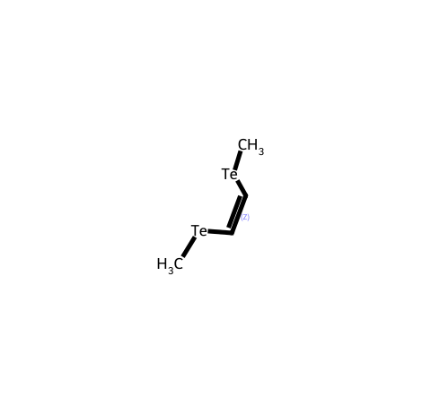 C[Te]/C=C\[Te]C